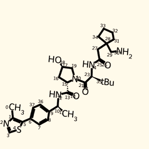 Cc1ncsc1-c1ccc([C@H](C)NC(=O)[C@@H]2C[C@@H](O)CN2C(=O)[C@@H](NC(=O)CC2(CN)CCCC2)C(C)(C)C)cc1